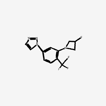 FC1CN(c2cc(-n3ccnn3)ccc2C(F)(F)F)C1